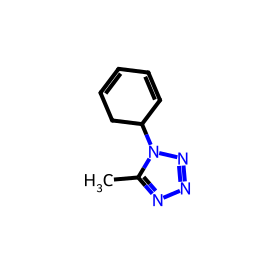 Cc1nnnn1C1C=CC=CC1